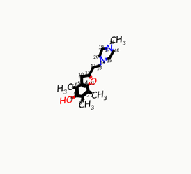 Cc1c(C)c2c(c(C)c1O)CC(CCN1CCN(C)CC1)O2